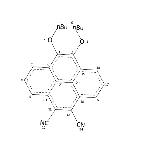 CCCCOc1c(OCCCC)c2cccc3c(C#N)c(C#N)c4cccc1c4c32